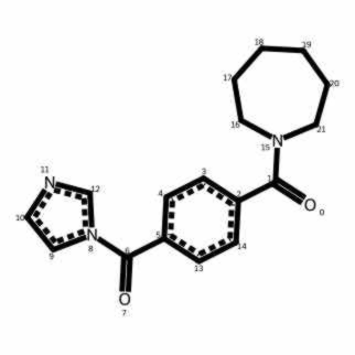 O=C(c1ccc(C(=O)n2ccnc2)cc1)N1CCCCCC1